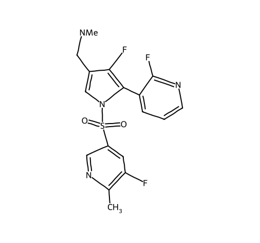 CNCc1cn(S(=O)(=O)c2cnc(C)c(F)c2)c(-c2cccnc2F)c1F